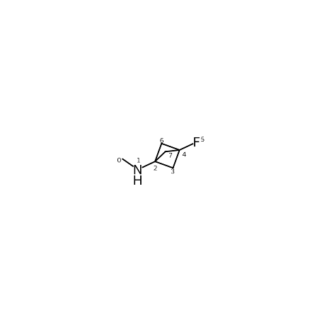 CNC12CC(F)(C1)C2